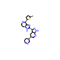 Cc1ccc(-c2nccc3[nH]c(-c4n[nH]c5ncc(-c6cccnc6)cc45)nc23)s1